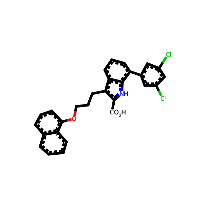 O=C(O)c1[nH]c2c(-c3cc(Cl)cc(Cl)c3)cccc2c1CCCOc1cccc2ccccc12